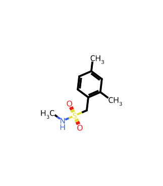 CNS(=O)(=O)Cc1ccc(C)cc1C